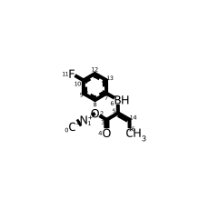 [C-]#[N+]OC(=O)C(Bc1ccc(F)cc1)=CC